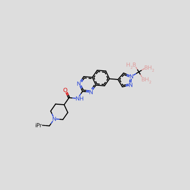 BC(B)(B)n1cc(-c2ccc3cnc(NC(=O)C4CCN(CC(C)C)CC4)nc3c2)cn1